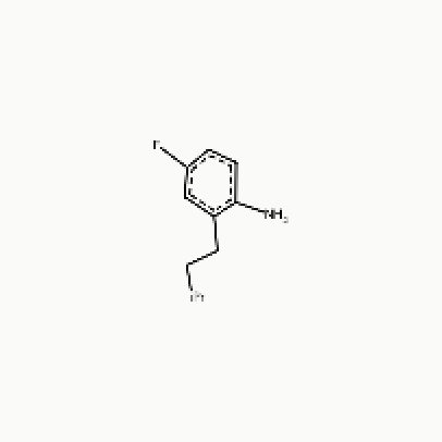 CC(C)CCc1cc(F)ccc1N